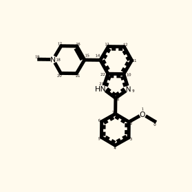 COc1ccccc1-c1nc2cccc(C3=CCN(C)CC3)c2[nH]1